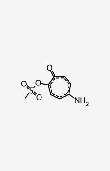 CS(=O)(=O)Oc1ccc(N)ccc1=O